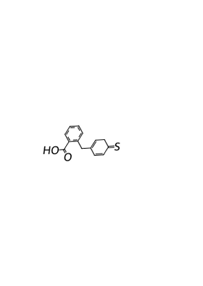 O=C(O)c1ccccc1CC1=CCC(=S)C=C1